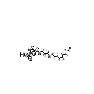 CCCCC/C=C\CCCCCCCCOc1ccc(C(=O)O)o1